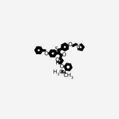 CN(C)[C@H]1CCCC[C@@H]1Oc1cc(C(=O)c2c(-c3ccc(OCCN4CCCC4)cc3)sc3cc(OCc4ccccc4)ccc23)on1